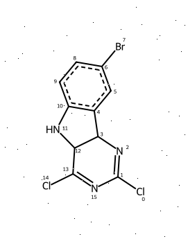 ClC1=NC2c3cc(Br)ccc3NC2C(Cl)=N1